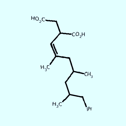 CC(=CC(CC(=O)O)C(=O)O)CC(C)CC(C)CC(C)C